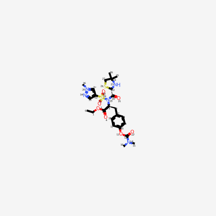 CCOC(=O)[C@H](Cc1ccc(OC(=O)N(C)C)cc1)N(C(=O)[C@H]1NC(C)(C)CS1)S(=O)(=O)c1cnn(C)c1